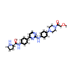 COCC(=O)N1CCN(c2ccc(Nc3nccc(-c4ccc(NC(=O)[C@H]5CCCN5)cc4)n3)cc2)CC1